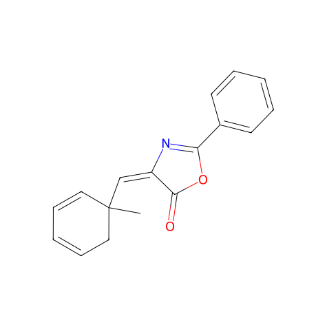 CC1(/C=C2/N=C(c3ccccc3)OC2=O)C=CC=CC1